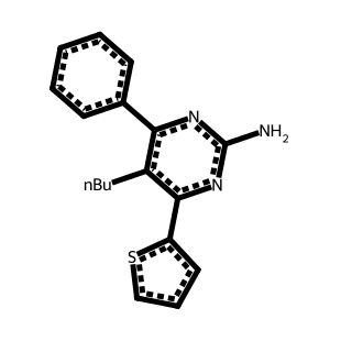 CCCCc1c(-c2ccccc2)nc(N)nc1-c1cccs1